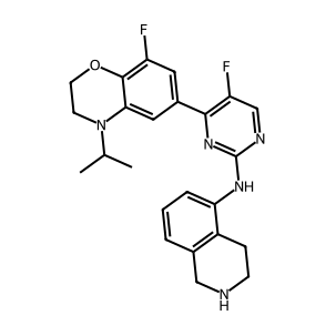 CC(C)N1CCOc2c(F)cc(-c3nc(Nc4cccc5c4CCNC5)ncc3F)cc21